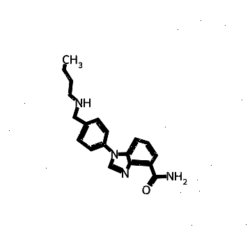 CCCCNCc1ccc(-n2cnc3c(C(N)=O)cccc32)cc1